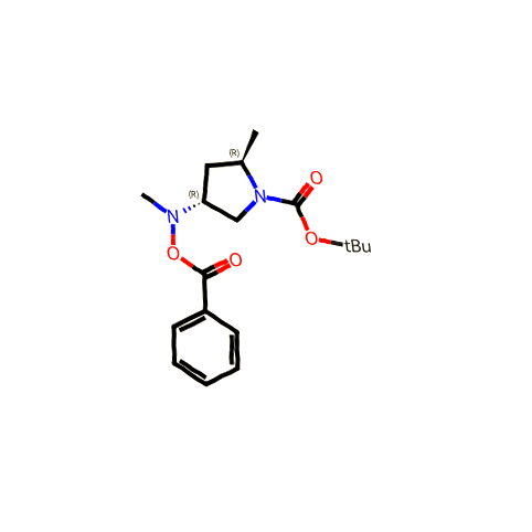 C[C@@H]1C[C@@H](N(C)OC(=O)c2ccccc2)CN1C(=O)OC(C)(C)C